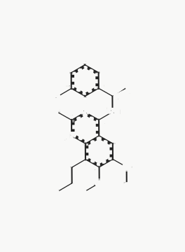 CCCc1c(OC)c(OC)cc2c(N[C@H](C)c3cccc(Br)c3)nc(C)nc12